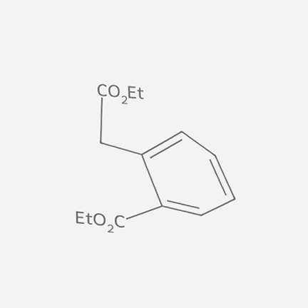 CCOC(=O)Cc1ccccc1C(=O)OCC